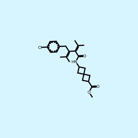 COC(=O)C1CC2(CC(NC(=O)C(=C(C)C)C(Cc3ccc(Cl)cc3)=C(C)C)C2)C1